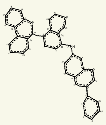 c1ccc(-c2ccc3cc(Nc4ccc(-c5cc6ccccc6c6ccccc56)c5ccccc45)ccc3c2)cc1